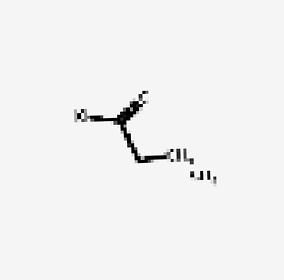 C.CCC(=O)O